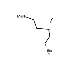 CC[C@@H](C)CC[C@@H](C)CCNC